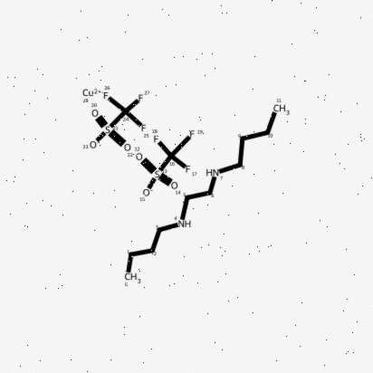 CCCCNCCNCCCC.O=S(=O)([O-])C(F)(F)F.O=S(=O)([O-])C(F)(F)F.[Cu+2]